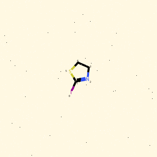 IC1=NCCS1